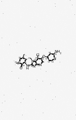 Cc1cc(Nc2nc3ncc(Oc4ccnc(N)c4)c(Cl)c3n2C)c(=O)n(C)c1